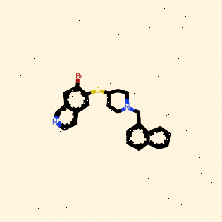 Brc1cc2cnccc2cc1SC1CCN(Cc2cccc3ccccc23)CC1